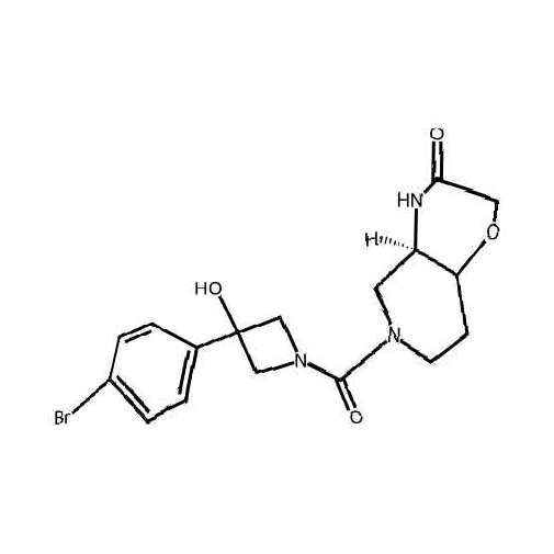 O=C1COC2CCN(C(=O)N3CC(O)(c4ccc(Br)cc4)C3)C[C@H]2N1